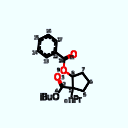 CCCC1(C(=O)OCC(C)C)CCCC1OC(=O)c1ccccc1